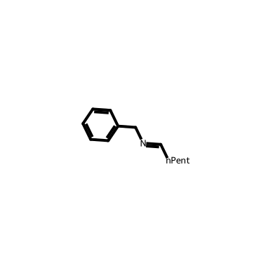 CCCCC/C=N/Cc1ccccc1